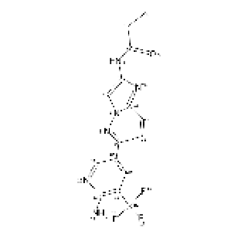 CCC(=O)Nc1cn2nc(-c3cnc(N)c(C(F)(F)F)c3)ccc2n1